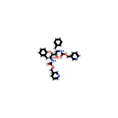 O=C(N[C@@H](Cc1ccccc1)[C@@H](O)[C@H](O)[C@H](Cc1ccccc1)NC(=O)OCc1cccnc1)OCc1cccnc1